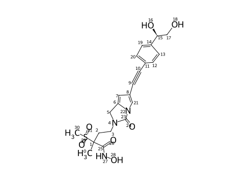 CC(CCN1Cc2cc(C#Cc3ccc([C@@H](O)CO)cc3)cn2C1=O)(C(=O)NO)S(C)(=O)=O